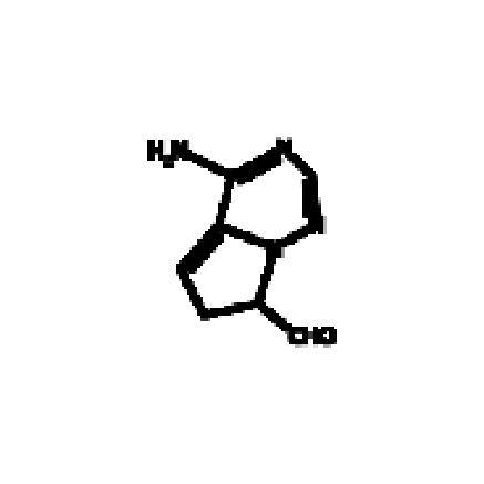 NC1=NC=NN2C1=CCC2C=O